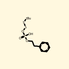 CC(C)(C)SSOP(=O)(O)OCCc1ccccc1